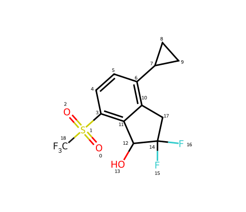 O=S(=O)(c1ccc(C2CC2)c2c1C(O)C(F)(F)C2)C(F)(F)F